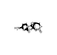 Nc1ccn([C@@H]2OC3CO[PH](=O)O[C@H]2C3)c(=O)n1